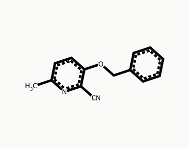 Cc1ccc(OCc2ccccc2)c(C#N)n1